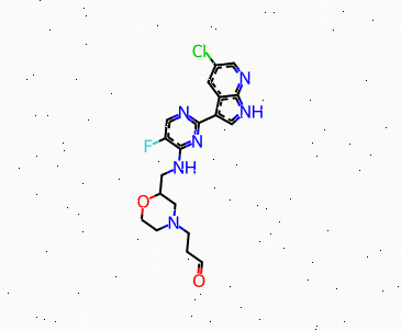 O=CCCN1CCOC(CNc2nc(-c3c[nH]c4ncc(Cl)cc34)ncc2F)C1